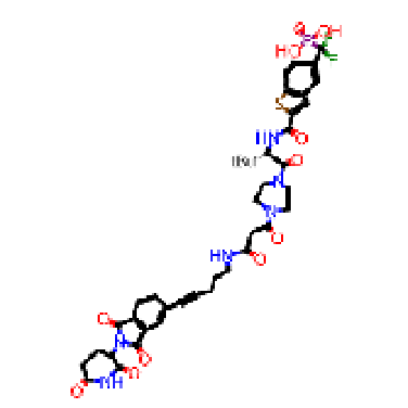 CC(C)(C)[C@H](NC(=O)c1cc2cc(C(F)(F)P(=O)(O)O)ccc2s1)C(=O)N1CCN(C(=O)CC(=O)NCCCC#Cc2ccc3c(c2)C(=O)N(C2CCC(=O)NC2=O)C3=O)CC1